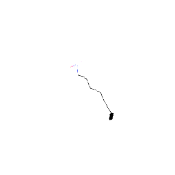 [C]#CCCCC[N+](=O)[O-]